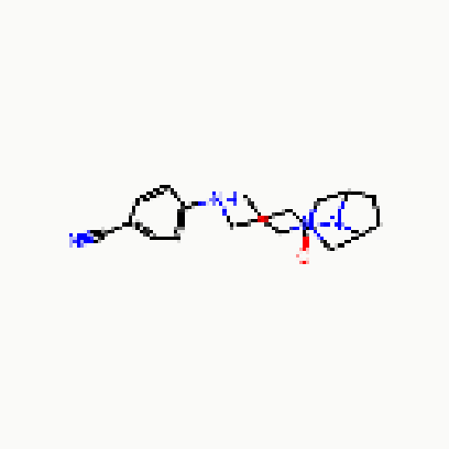 CCCC(=O)N1C2CCC1CN(CCCNc1ccc(C#N)cc1)C2